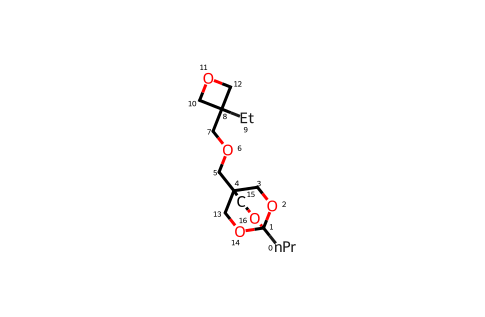 CCCC12OCC(COCC3(CC)COC3)(CO1)CO2